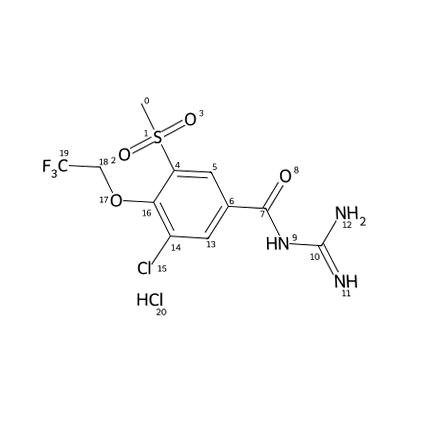 CS(=O)(=O)c1cc(C(=O)NC(=N)N)cc(Cl)c1OCC(F)(F)F.Cl